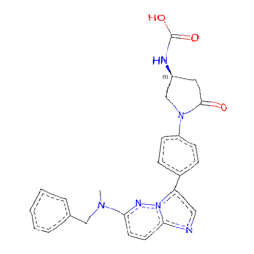 CN(Cc1ccccc1)c1ccc2ncc(-c3ccc(N4C[C@@H](NC(=O)O)CC4=O)cc3)n2n1